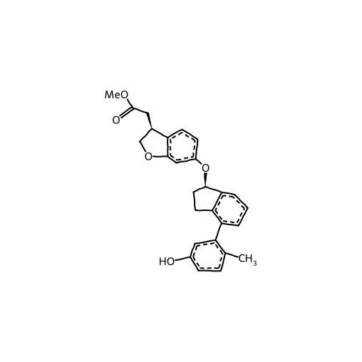 COC(=O)C[C@@H]1COc2cc(O[C@@H]3CCc4c(-c5cc(O)ccc5C)cccc43)ccc21